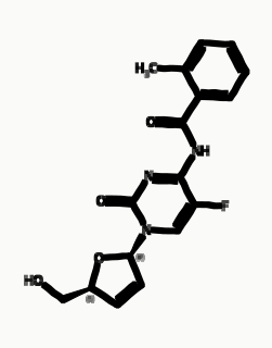 Cc1ccccc1C(=O)Nc1nc(=O)n([C@H]2C=C[C@@H](CO)O2)cc1F